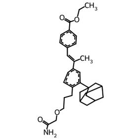 CCOC(=O)c1ccc(C=C(C)c2ccc(CCCOCC(N)=O)c(C34CC5CC(CC(C5)C3)C4)c2)cc1